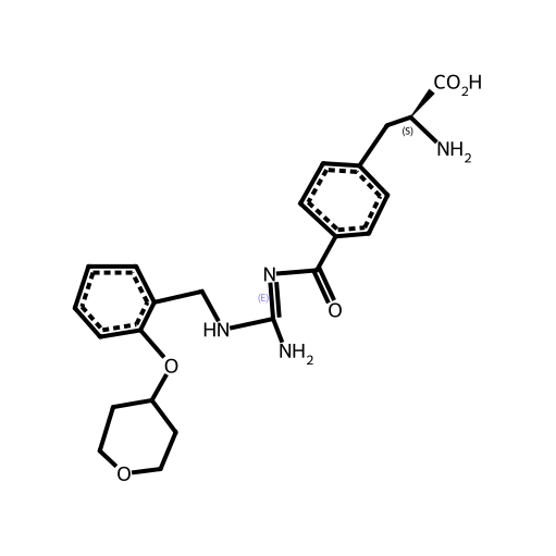 N/C(=N\C(=O)c1ccc(C[C@H](N)C(=O)O)cc1)NCc1ccccc1OC1CCOCC1